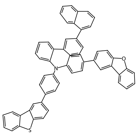 c1cc(-c2ccccc2N(c2ccc(-c3ccc4oc5ccccc5c4c3)cc2)c2ccc(-c3ccc4sc5ccccc5c4c3)cc2)cc(-c2cccc3ccccc23)c1